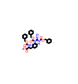 COC(=O)C(Cc1cccc(N(C(=N)NC(=O)OCc2ccccc2)C(=O)OCc2ccccc2)c1)NC(=O)OCc1ccccc1